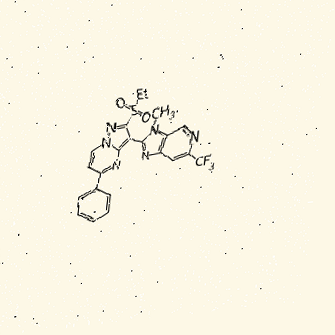 CCS(=O)(=O)c1nn2ccc(-c3ccccc3)nc2c1-c1nc2cc(C(F)(F)F)ncc2n1C